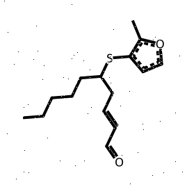 CCCCCC(CC=CC=O)Sc1ccoc1C